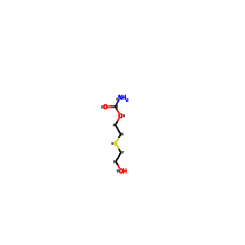 NC(=O)OCCSCCO